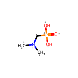 CN(C)CP(=O)(O)O